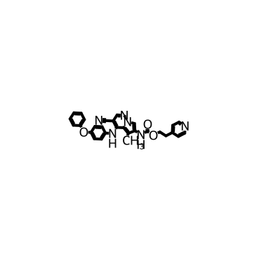 Cc1c(NC(=O)OCCc2ccncc2)cn2ncc(C#N)c(Nc3ccc(Oc4ccccc4)cc3)c12